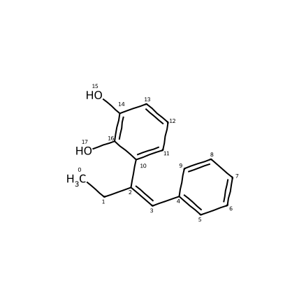 CCC(=Cc1ccccc1)c1cccc(O)c1O